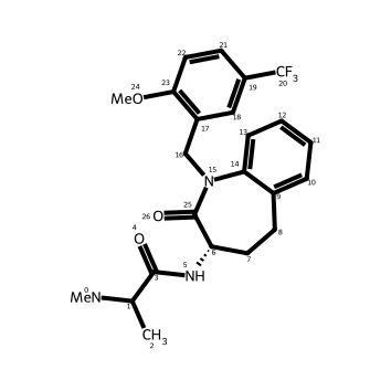 CNC(C)C(=O)N[C@H]1CCc2ccccc2N(Cc2cc(C(F)(F)F)ccc2OC)C1=O